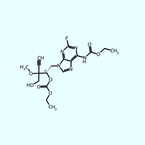 C#CC(CO)(OC)[C@H](Cn1cnc2c(NC(=O)OCC)nc(F)nc21)OC(=O)OCC